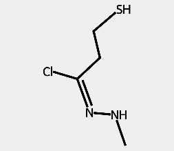 CN/N=C(/Cl)CCS